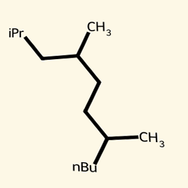 C[CH]CCC(C)CCC(C)CC(C)C